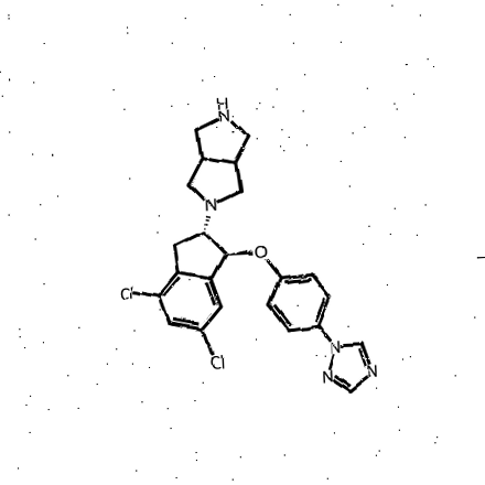 Clc1cc(Cl)c2c(c1)[C@H](Oc1ccc(-n3cncn3)cc1)[C@@H](N1CC3CNCC3C1)C2